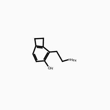 CCCCCCCCc1c(O)ccc2c1CC2